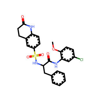 COc1ccc(Cl)cc1NC(=O)C(Cc1ccccc1)NS(=O)(=O)c1ccc2c(c1)CCC(=O)N2